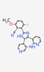 COc1ccc(F)c(-c2nc3c([nH]2)-c2ccncc2Nc2ncccc2-3)c1C#N